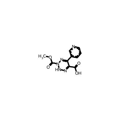 COC(=O)N1N=C(c2cccnc2)C(C(=O)O)=NN1